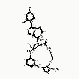 Cn1ncc2c1CCCNC(=O)[C@@H]1C[C@@H](CN1c1nccn3c(-c4ccc(F)cc4F)ncc13)Nc1cccc(n1)N2